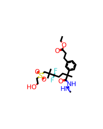 CCOC(=O)CCc1cccc(C(C)(CCC(F)(F)C(C)(C)CS(=O)(=O)CCO)C(=O)NNC)c1